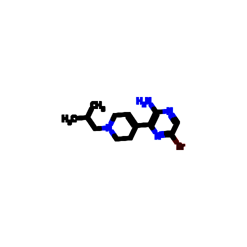 C[C](C)CN1CC=C(c2nc(Br)cnc2N)CC1